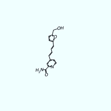 NC(=O)c1cc(C=CC=Cc2ccc(CO)o2)ccn1